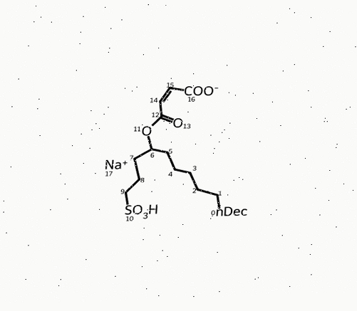 CCCCCCCCCCCCCCCC(CCCS(=O)(=O)O)OC(=O)/C=C\C(=O)[O-].[Na+]